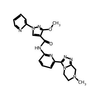 COc1nn(-c2ccccn2)cc1C(=O)Nc1cccc(-c2nnc3n2CCN(C)C3)n1